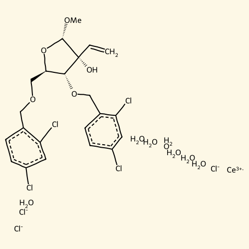 C=C[C@]1(O)[C@@H](OC)O[C@H](COCc2ccc(Cl)cc2Cl)[C@H]1OCc1ccc(Cl)cc1Cl.O.O.O.O.O.O.O.[Ce+3].[Cl-].[Cl-].[Cl-]